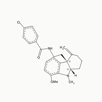 C=C1CCC[C@@H]2N(C)c3c(OC)cccc3[C@]12CCNC(=O)c1ccc(Cl)cc1